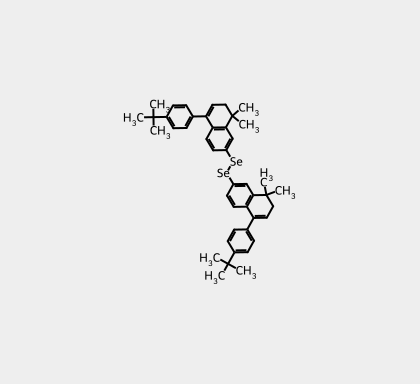 CC(C)(C)c1ccc(C2=CCC(C)(C)c3cc([Se][Se]c4ccc5c(c4)C(C)(C)CC=C5c4ccc(C(C)(C)C)cc4)ccc32)cc1